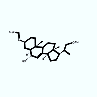 COCO[C@H]1CC[C@]2(C)C3CC[C@]4(C)[C@@H](C(C)COC)CC[C@H]4C3=C[C@H](O)[C@H]2C1